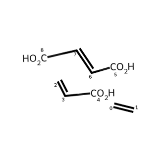 C=C.C=CC(=O)O.O=C(O)C=CC(=O)O